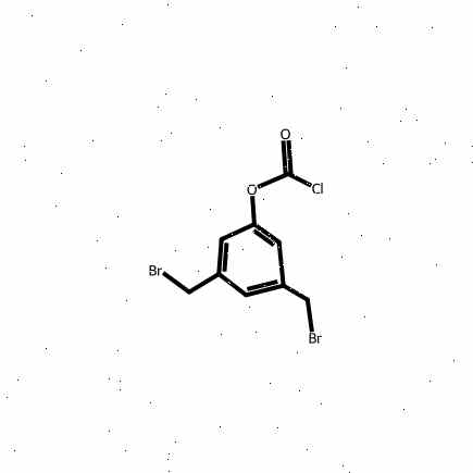 O=C(Cl)Oc1cc(CBr)cc(CBr)c1